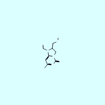 CCN1c2cc(Cl)nc(=O)n2CC1COC